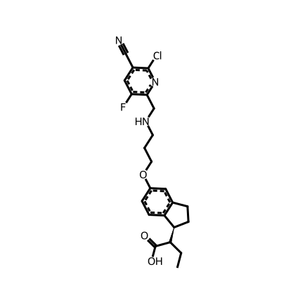 CCC(C(=O)O)[C@@H]1CCc2cc(OCCCNCc3nc(Cl)c(C#N)cc3F)ccc21